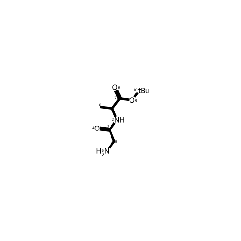 CC(NC(=O)CN)C(=O)OC(C)(C)C